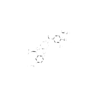 CCc1cc(C(=O)N2CCC3(CC2)NC(=C2CC2)c2cc(OC(C)C)ccc2O3)cc(C=N)c1N